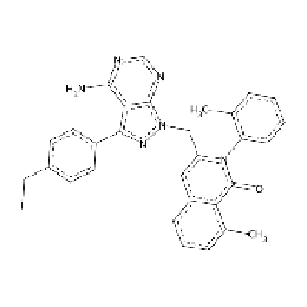 Cc1ccccc1-n1c(Cn2nc(-c3ccc(CI)cc3)c3c(N)ncnc32)cc2cccc(C)c2c1=O